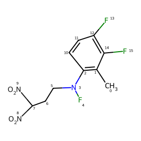 Cc1c(N(F)CCC([N+](=O)[O-])[N+](=O)[O-])ccc(F)c1F